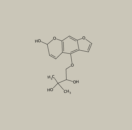 CC(C)(O)C(O)COc1c2c(cc3occc13)OC(O)C=C2